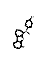 CCc1ccc(N(I)c2cccc3c2sc2c(F)cccc23)cc1